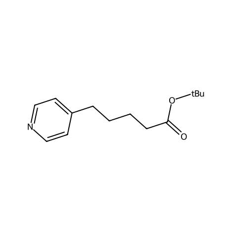 CC(C)(C)OC(=O)CCCCc1ccncc1